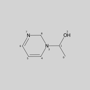 CC(O)N1C=CC=NC1